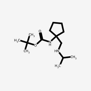 CC(C)NCC1(NC(=O)OC(C)(C)C)CCCC1